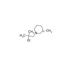 CCC(C)(C)CN1CCC[C@H](C)C1